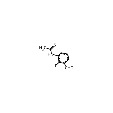 CC(=S)Nc1cccc(C=O)c1I